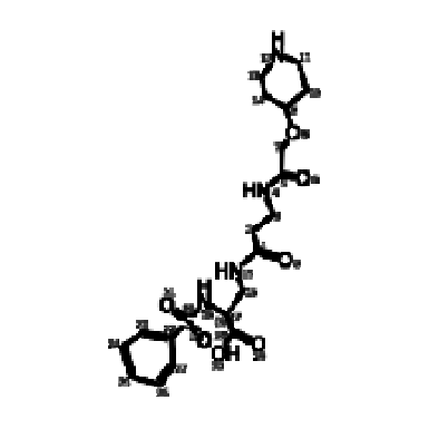 O=C(CCNC(=O)COC1CCNCC1)NC[C@H](NS(=O)(=O)c1ccccc1)C(=O)O